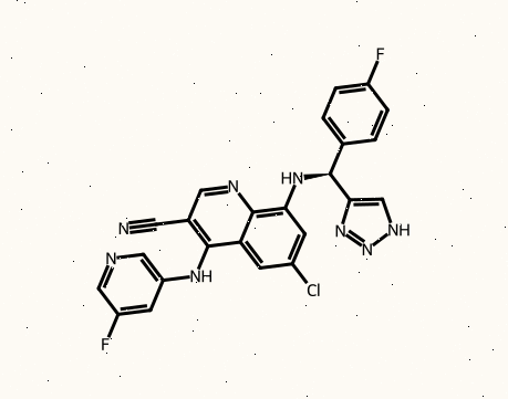 N#Cc1cnc2c(N[C@@H](c3ccc(F)cc3)c3c[nH]nn3)cc(Cl)cc2c1Nc1cncc(F)c1